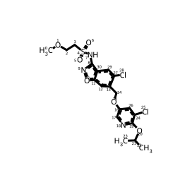 COCCS(=O)(=O)Nc1noc2cc(COc3cnc(OC(C)C)c(Cl)c3)c(Cl)cc12